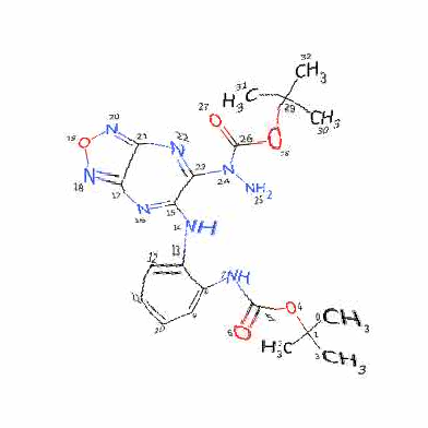 CC(C)(C)OC(=O)Nc1ccccc1Nc1nc2nonc2nc1N(N)C(=O)OC(C)(C)C